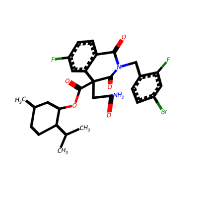 CC1CCC(C(C)C)C(OC(=O)C2(CC(N)=O)C(=O)N(Cc3ccc(Br)cc3F)C(=O)c3ccc(F)cc32)C1